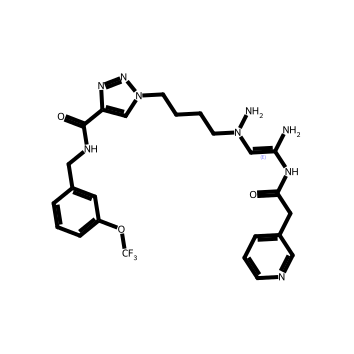 N/C(=C\N(N)CCCCn1cc(C(=O)NCc2cccc(OC(F)(F)F)c2)nn1)NC(=O)Cc1cccnc1